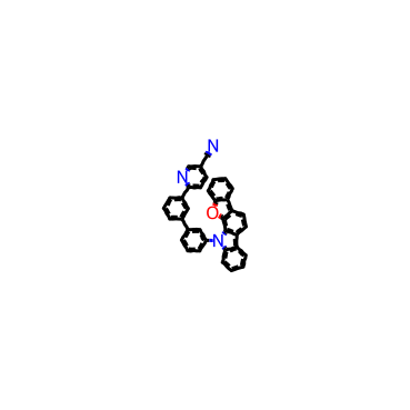 N#Cc1ccc(-c2cccc(-c3cccc(-n4c5ccccc5c5ccc6c7ccccc7oc6c54)c3)c2)nc1